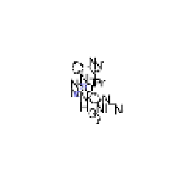 C=CC(=O)Nc1cc(NC(/C=C(\N=C)Nc2ccccc2-c2ccn(C)n2)=N/C)c(OC(C)C)cc1N(C)CCN(C)C